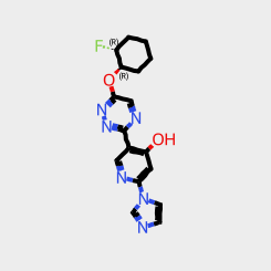 Oc1cc(-n2ccnc2)ncc1-c1ncc(O[C@@H]2CCCC[C@H]2F)nn1